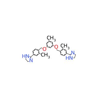 Cc1cc(OCc2ccc(C3=NCCN3)cc2C)cc(OCc2ccc(C3=NCCN3)cc2C)c1